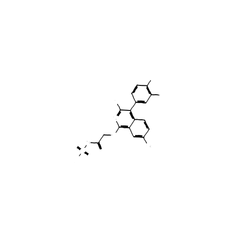 Cc1cc(-c2c(C(C)C)nc(OCC(=O)NS(C)(=O)=O)c3cc(O)ccc23)ccc1F